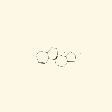 C[C@]12CCC3=C([C@@H](O)CC4C[C@@H](O)C=C[C@]34C)[C@@H]1C[C@@H](F)[C@@H]2N